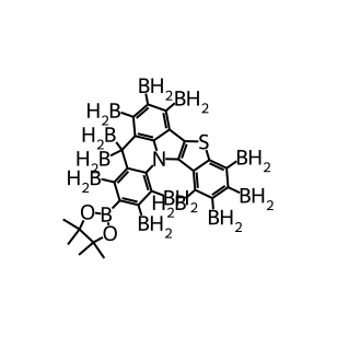 Bc1c(B)c2c(c(B)c1B1OC(C)(C)C(C)(C)O1)C(B)(B)c1c(B)c(B)c(B)c3c4sc5c(B)c(B)c(B)c(B)c5c4n-2c13